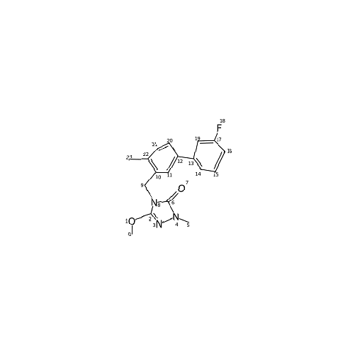 COc1nn(C)c(=O)n1Cc1cc(-c2cccc(F)c2)ccc1C